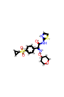 O=C(Nc1nccs1)/C(=N/OC1CCOCC1)c1ccc(S(=O)(=O)C2CC2)cc1